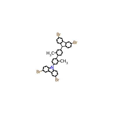 Cc1cc(C2c3ccc(Br)cc3-c3cc(Br)ccc32)ccc1-c1ccc(-n2c3ccc(Br)cc3c3cc(Br)ccc32)cc1C